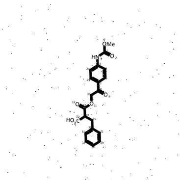 COC(=O)Nc1ccc(C(=O)COC(=O)C(Cc2ccccc2)C(=O)O)cc1